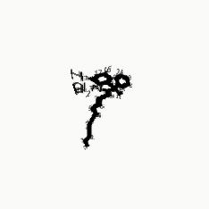 CCCCCCCCCC(N)C(CC)(c1ccccc1)c1ccccc1.Cl